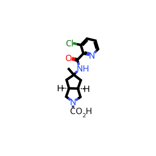 CC1(NC(=O)c2ncccc2Cl)C[C@H]2CN(C(=O)O)C[C@H]2C1